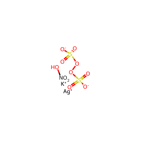 O=S(=O)([O-])OOS(=O)(=O)[O-].O=[N+]([O-])O.[Ag+].[K+]